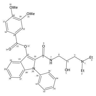 CCN(CC)CC(O)CNC(=O)c1c(OC(=O)c2ccc(OC)c(OC)c2)c2ccccc2n1-c1ccccc1